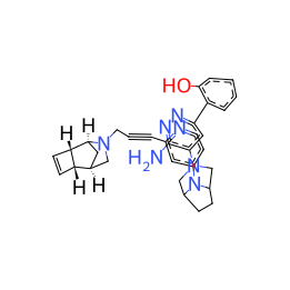 Nc1nnc(-c2ccccc2O)cc1N1CC2CCC(C1)N2c1ccnc(C#CCN2C[C@@H]3C[C@H]2[C@H]2C=C[C@@H]32)c1